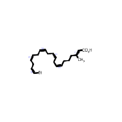 CC/C=C\C/C=C\C/C=C\C/C=C\C/C=C\CCC/C(C)=C/C(=O)O